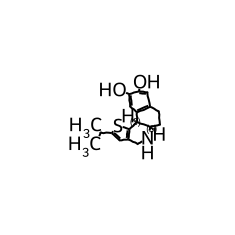 CC(C)c1cc2c(s1)[C@H]1c3cc(O)c(O)cc3CC[C@@H]1NC2